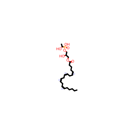 CCCCC/C=C\C/C=C\C/C=C\C/C=C\CCCC(=O)OCC(O)COP(=O)(O)C(C)O